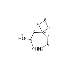 OC1CNCCC2(CCC2)C1